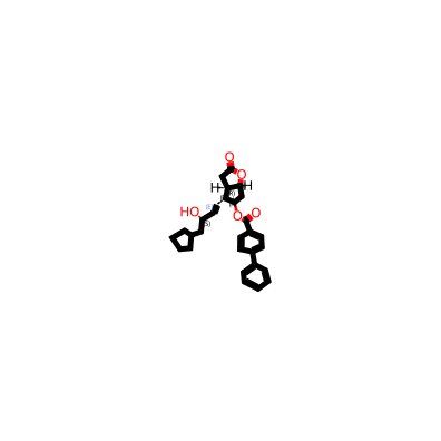 O=C1C[C@@H]2[C@@H](/C=C/[C@@H](O)CC3CCCC3)[C@H](OC(=O)c3ccc(-c4ccccc4)cc3)C[C@@H]2O1